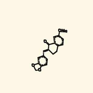 COc1ccc2c(c1)C(=O)C(=Cc1ccc3c(c1)OCO3)CC2